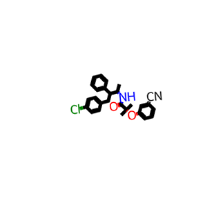 CC(NC(=O)C(C)(C)Oc1cccc(C#N)c1)C(Cc1ccc(Cl)cc1)c1ccccc1